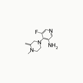 C=C1CN(c2c(N)cncc2F)CCN1C